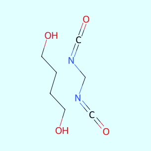 O=C=NCN=C=O.OCCCCO